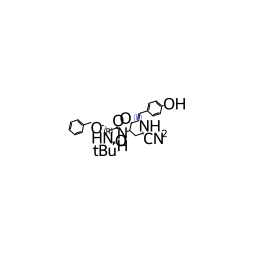 CC(C)(C)C(=O)N[C@H](COCc1ccccc1)C(=O)NC(CC(N)C#N)C(=O)/C=C/c1ccc(O)cc1